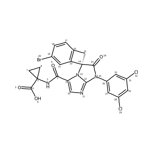 O=C(NC1(C(=O)O)CC1)c1cnc2n1[C@]1(Cc3ccc(Br)cc31)C(=O)N2c1cc(Cl)cc(Cl)c1